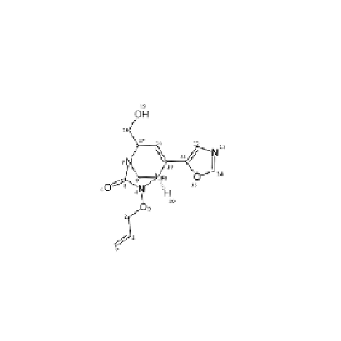 C=CCON1C(=O)N2C[C@H]1C(c1cnco1)=CC2CO